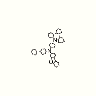 c1ccc(-c2ccc(N(c3ccc(N4c5ccccc5-c5ccccc5-c5ccccc54)cc3)c3ccc4c(c3)oc3ccccc34)cc2)cc1